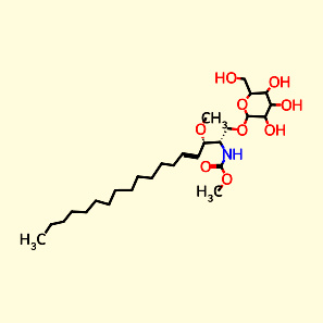 CCCCCCCCCCCCC/C=C/[C@H](OC)[C@H](COC1OC(CO)C(O)C(O)C1O)NC(=O)OC